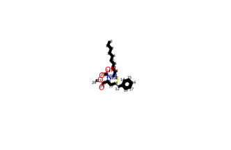 CCCCCCCCCCS[C@H](Cc1ccccc1)CC(NC(=O)O)C(=O)OC